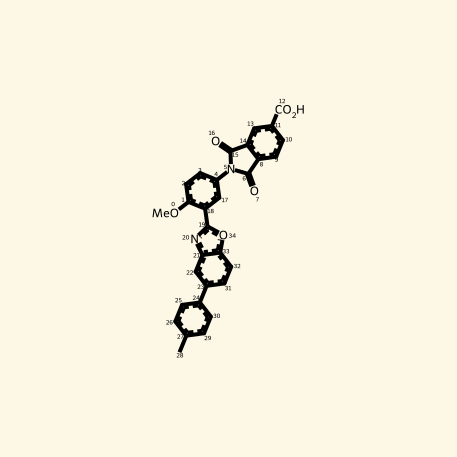 COc1ccc(N2C(=O)c3ccc(C(=O)O)cc3C2=O)cc1-c1nc2cc(-c3ccc(C)cc3)ccc2o1